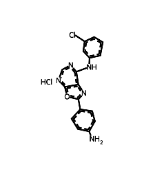 Cl.Nc1ccc(-c2nc3c(Nc4cccc(Cl)c4)ncnc3o2)cc1